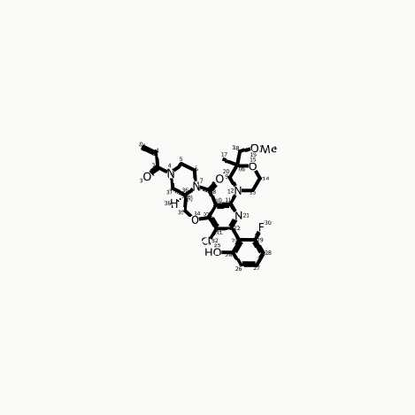 C=CC(=O)N1CCN2C(=O)c3c(N4CCOC(C)(COC)C4)nc(-c4c(O)cccc4F)c(Cl)c3OC[C@H]2C1